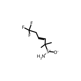 CC(C)(C=CCC(F)(F)F)[S@@+](N)[O-]